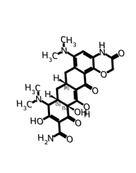 CN(C)c1cc2c(c3c1C[C@H]1C[C@H]4C(N(C)C)C(O)=C(C(N)=O)C(=O)[C@@]4(O)C(O)=C1C3=O)OCC(=O)N2